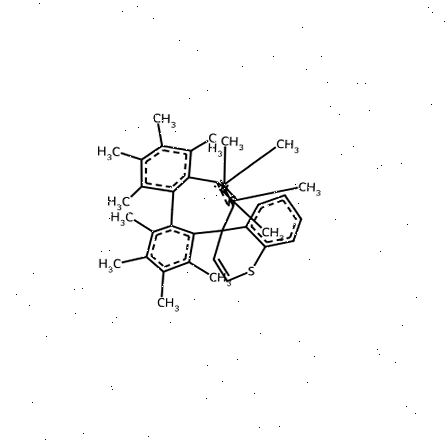 Cc1c(C)c(C)c2c(c1C)-c1c(C)c(C)c(C)c(C)c1C1(C=CSc3ccccc31)c1c(C)c(C)c(C)c(C)c1-2